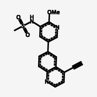 C#Cc1ccnc2ccc(-c3cnc(OC)c(NS(C)(=O)=O)c3)cc12